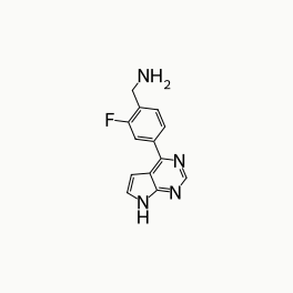 NCc1ccc(-c2ncnc3[nH]ccc23)cc1F